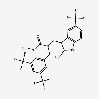 COC(=O)N(Cc1cc(C(F)(F)F)cc(C(F)(F)F)c1)CC1c2cc(C(F)(F)F)ccc2NC1C